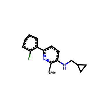 CNc1nc(-c2ccccc2Cl)ccc1NCC1CC1